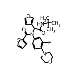 CC(C)(C)NC(=O)C(c1ccoc1)N(C(=O)c1cccs1)c1ccc(N2CCOCC2)c(F)c1